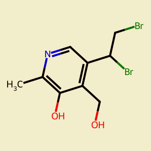 Cc1ncc(C(Br)CBr)c(CO)c1O